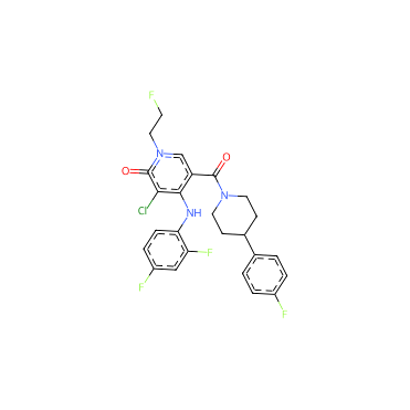 O=C(c1cn(CCF)c(=O)c(Cl)c1Nc1ccc(F)cc1F)N1CCC(c2ccc(F)cc2)CC1